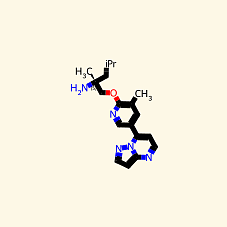 Cc1cc(-c2ccnc3ccnn23)cnc1OC[C@@](C)(N)CC(C)C